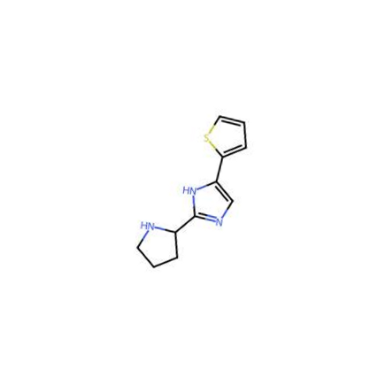 c1csc(-c2cnc(C3CCCN3)[nH]2)c1